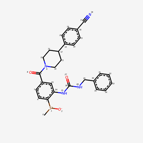 C[S+]([O-])c1ccc(C(=O)N2CCC(c3ccc(C#N)cc3)CC2)cc1NC(=O)NCc1ccccc1